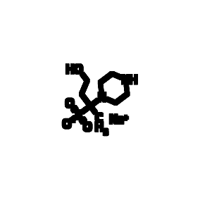 CC(CCO)(N1CCNCC1)S(=O)(=O)[O-].[Na+]